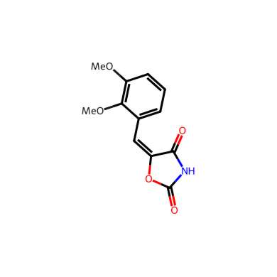 COc1cccc(C=C2OC(=O)NC2=O)c1OC